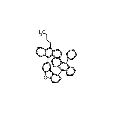 CCCCc1c2ccccc2c(-c2ccc3oc4cccc(-c5c6ccccc6c(-c6ccccc6)c6ccccc56)c4c3c2)c2ccccc12